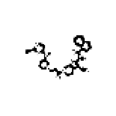 C#Cc1nccc(N(C)C2CCCN(CCC(=O)N3CCc4c(sc(NC(=O)c5cccc6ccccc56)c4C#N)C3)C2)n1